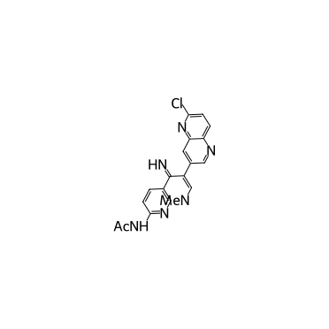 CN/C=C(\C(=N)c1ccc(NC(C)=O)nc1)c1cnc2ccc(Cl)nc2c1